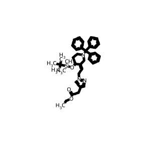 CCOC(=O)Cc1cnn(CC=C2CN(C(c3ccccc3)(c3ccccc3)c3ccccc3)CCC2O[Si](C)(C)C(C)(C)C)c1